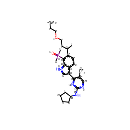 CNCCOCCC(C)c1ccc2c(-c3nc(NC4CCCC4)ncc3C(F)(F)F)c[nH]c2c1P(C)(C)=O